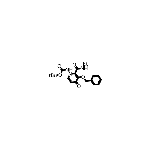 CCNC(=O)c1c(OCc2ccccc2)c(=O)ccn1NC(=O)OC(C)(C)C